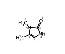 Cc1c[nH]c(=O)n1C